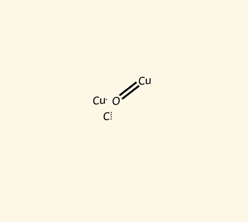 [C].[Cu].[O]=[Cu]